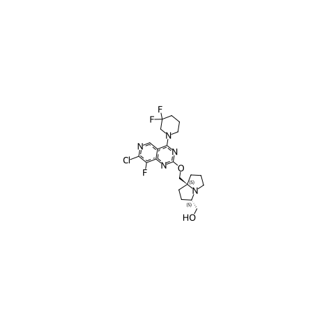 OC[C@@H]1CC[C@]2(COc3nc(N4CCCC(F)(F)C4)c4cnc(Cl)c(F)c4n3)CCCN12